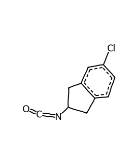 O=C=NC1Cc2ccc(Cl)cc2C1